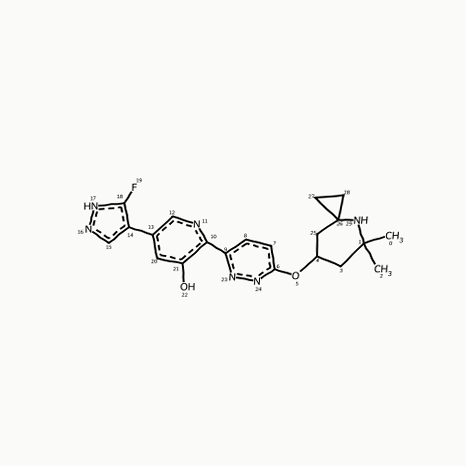 CC1(C)CC(Oc2ccc(-c3ncc(-c4cn[nH]c4F)cc3O)nn2)CC2(CC2)N1